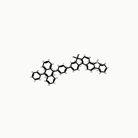 CC1(C)c2cc(-c3ccc(-c4c5ccccc5c(-c5ccccc5)c5ccccc45)cc3)ccc2-c2c1ccc1c2ccc2c3ccccc3sc12